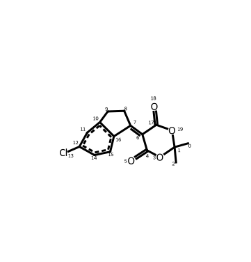 CC1(C)OC(=O)C(=C2CCc3cc(Cl)ccc32)C(=O)O1